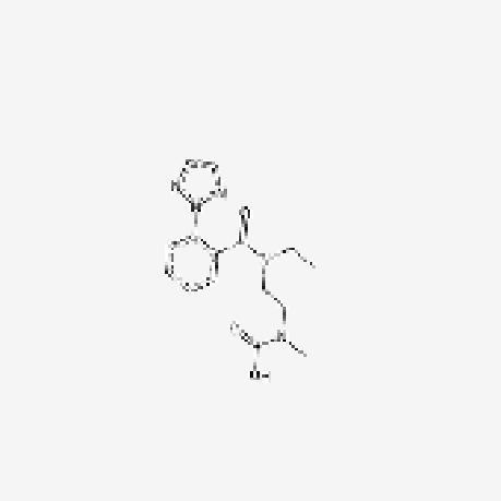 CCN(CCN(C)C(=O)O)C(=O)c1ccccc1-n1nccn1